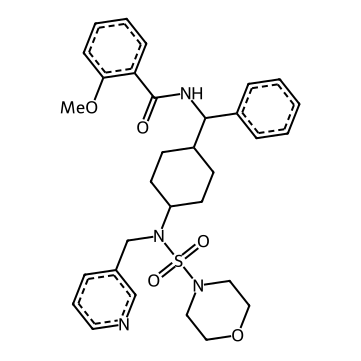 COc1ccccc1C(=O)NC(c1ccccc1)C1CCC(N(Cc2cccnc2)S(=O)(=O)N2CCOCC2)CC1